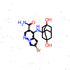 NC(=O)c1cnn2cc(Br)cc2c1NC12CC3CC(O)(CC(O)(C3)C1)C2